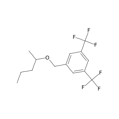 CCCC(C)OCc1cc(C(F)(F)F)cc(C(F)(F)F)c1